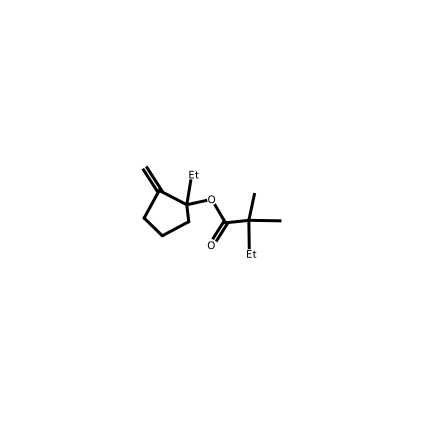 C=C1CCCC1(CC)OC(=O)C(C)(C)CC